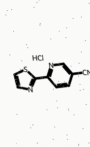 Cl.N#Cc1ccc(-c2nccs2)nc1